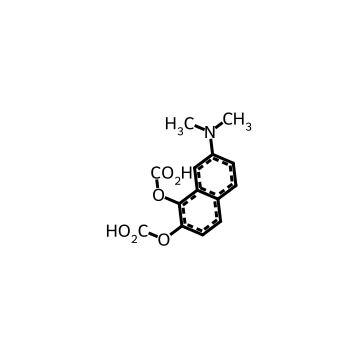 CN(C)c1ccc2ccc(OC(=O)O)c(OC(=O)O)c2c1